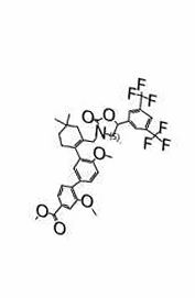 COC(=O)c1ccc(-c2ccc(OC)c(C3=C(CN4C(=O)OC(c5cc(C(F)(F)F)cc(C(F)(F)F)c5)[C@@H]4C)CC(C)(C)CC3)c2)c(OC)c1